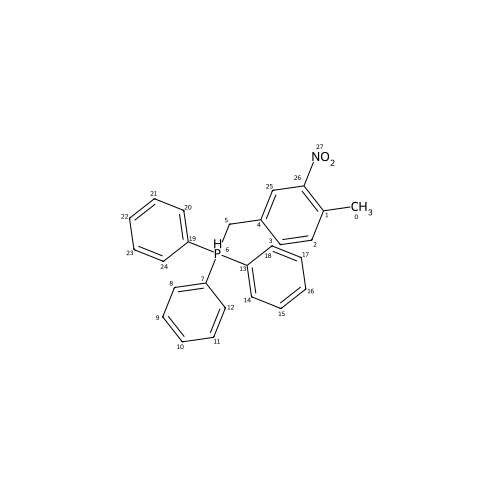 Cc1ccc(C[PH](c2ccccc2)(c2ccccc2)c2ccccc2)cc1[N+](=O)[O-]